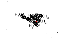 COC(=O)[C@@]1(Sc2ccc(C)cc2)C[C@H](OC(C)=O)[C@@H](NC(=O)COC(C)=O)[C@H]([C@H](OC(C)=O)[C@@H](CNC(=O)c2ccc(-c3ccc(OC(C)=O)cc3)cc2)OC(C)=O)O1